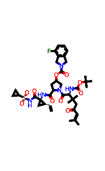 C=C[C@@H]1C[C@]1(NC(=O)C1CC(OC(=O)N2Cc3cccc(F)c3C2)CN1C(=O)[C@@H](NC(=O)OC(C)(C)C)C(C)(C)CC(=O)C=C(C)C)C(=O)NS(=O)(=O)C1CC1